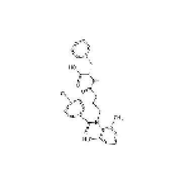 Cc1cccc(C)c1N(CCCC(=O)N[C@@H](Cc1ccccc1)C(=O)O)C(=O)c1ccc(Cl)cc1